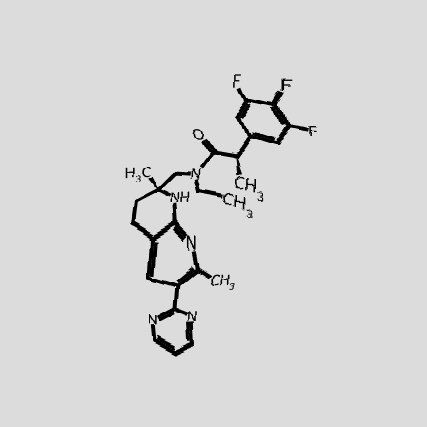 CCN(C[C@@]1(C)CCc2cc(-c3ncccn3)c(C)nc2N1)C(=O)[C@H](C)c1cc(F)c(F)c(F)c1